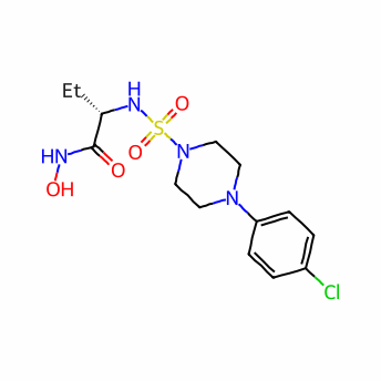 CC[C@H](NS(=O)(=O)N1CCN(c2ccc(Cl)cc2)CC1)C(=O)NO